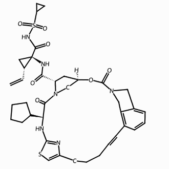 C=C[C@@H]1C[C@]1(NC(=O)[C@@H]1C[C@@H]2CN1C(=O)[C@H](C1CCCC1)Nc1nc(cs1)CCC/C=C/c1cccc3c1CN(C3)C(=O)O2)C(=O)NS(=O)(=O)C1CC1